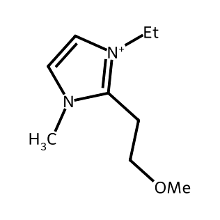 CC[n+]1ccn(C)c1CCOC